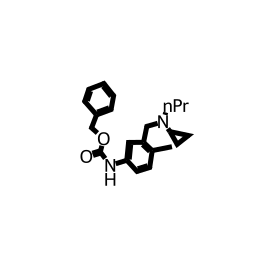 CCCN(Cc1cc(NC(=O)OCc2ccccc2)ccc1C)C1CC1